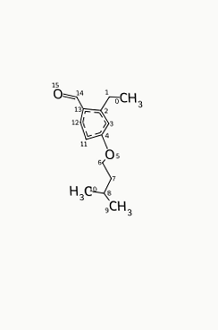 CCc1cc(OCCC(C)C)ccc1C=O